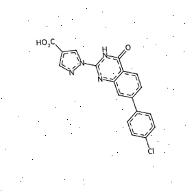 O=C(O)c1cnn(-c2nc3cc(-c4ccc(Cl)cc4)ccc3c(=O)[nH]2)c1